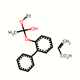 C=CC(=O)O.CCOC(C)(O)Oc1ccccc1-c1ccccc1